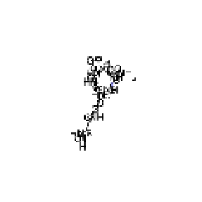 NC(=O)CC[C@@H]1NC(=O)/C=C/C(=O)NC(C(=O)NCCOCCOCCNC(=O)CCCCC2SCC3NC(=O)NC32)CCCCNC(=O)C(Cc2ccc(C(=O)c3ccccc3)cc2)NC(=O)C(CC2CCCCC2)NC1=O